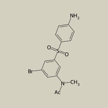 CC(=O)N(C)c1cc(Br)cc(S(=O)(=O)c2ccc(N)cc2)c1